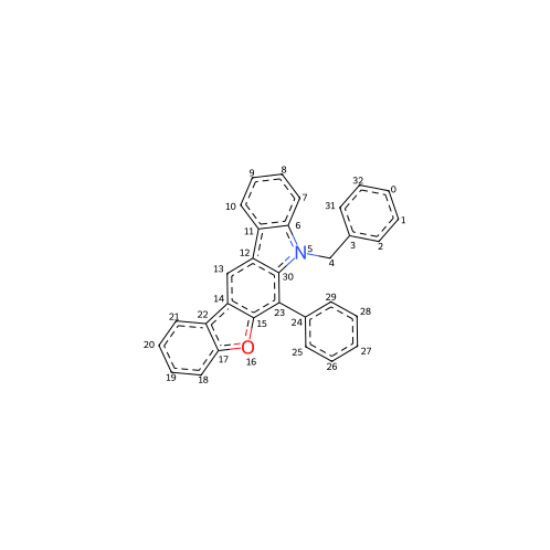 c1ccc(Cn2c3ccccc3c3cc4c(oc5ccccc54)c(-c4ccccc4)c32)cc1